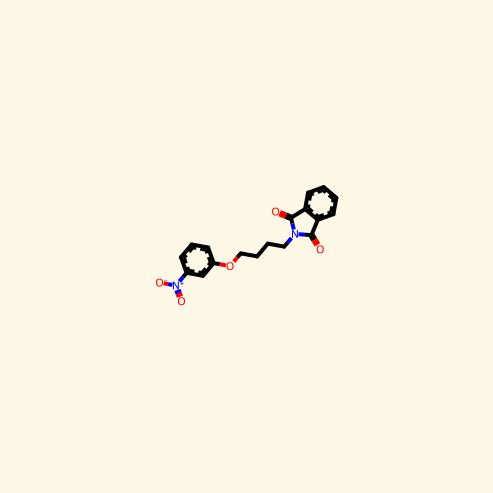 O=C1c2ccccc2C(=O)N1CCCCOc1cccc([N+](=O)[O-])c1